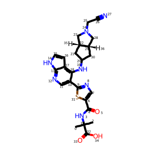 CC(C)(NC(=O)c1cnc(-c2cnc3[nH]ccc3c2NC2C[C@@H]3CN(CC#N)C[C@@H]3C2)s1)C(=O)O